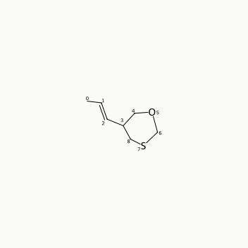 CC=CC1COCSC1